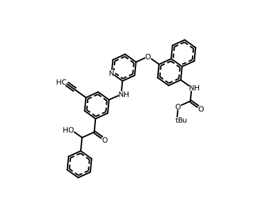 C#Cc1cc(Nc2cc(Oc3ccc(NC(=O)OC(C)(C)C)c4ccccc34)ccn2)cc(C(=O)C(O)c2ccccc2)c1